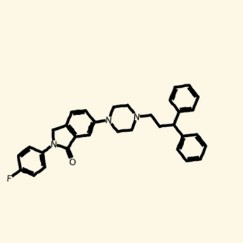 O=C1c2cc(N3CCN(CCC(c4ccccc4)c4ccccc4)CC3)ccc2CN1c1ccc(F)cc1